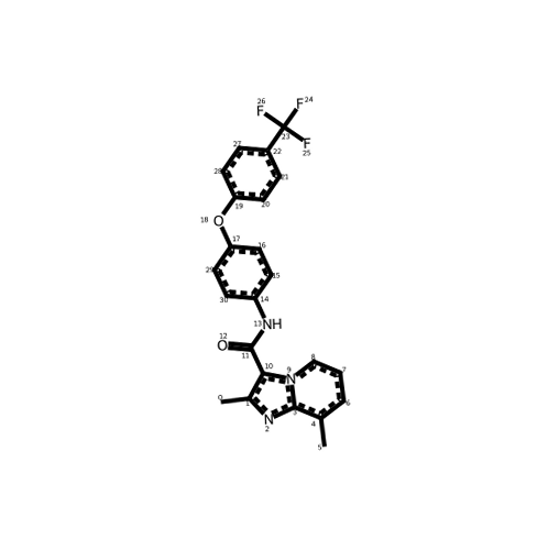 Cc1nc2c(C)cccn2c1C(=O)Nc1ccc(Oc2ccc(C(F)(F)F)cc2)cc1